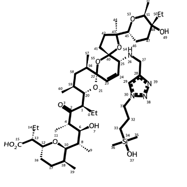 CC[C@@H](C(=O)[C@@H](C)[C@@H](O)[C@H](C)[C@@H]1O[C@@H]([C@@H](CC)C(=O)O)CC[C@@H]1C)[C@H]1O[C@]2(C=C[C@@H](NCc3cn(CCC[Si](C)(C)O)nn3)[C@]3(CC[C@@](C)([C@H]4CC[C@](O)(CC)[C@H](C)O4)O3)O2)[C@H](C)C[C@@H]1C